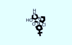 CC(C)(C)c1ccc(N(C(=O)[C@H]2CCNC[C@@H]2O)c2ncccc2Cl)cc1